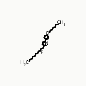 CCCCCCCCCC(F)CCc1ccc(-c2ccc(OCCCCCCCC)cc2)nc1